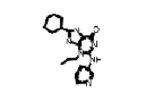 CCCn1c(Nc2cccnc2)nc(=O)c2c1N=C(C1CCCCC1)[N]2